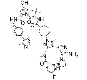 Cc1ncsc1-c1ccc([C@H](C)NC(=O)[C@@H]2C[C@@H](O)CN2C(=O)[C@@H](NC(=O)C2CCCC(n3nc4c(c3C)-c3cnc(N)c(c3)N3CCC[C@@H]3c3cc(F)ccc3C(=O)N(C)C4)CC2)C(C)(C)C)cc1